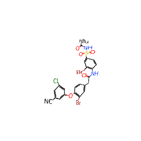 CCCCC(=O)NS(=O)(=O)c1ccc(NC(=O)Cc2ccc(Oc3cc(Cl)cc(C#N)c3)c(Br)c2)c(Br)c1